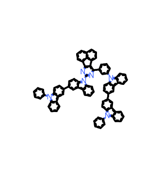 c1ccc(-n2c3ccccc3c3cc(-c4ccc5c(c4)c4ccccc4n5-c4cccc(-c5nc(-n6c7ccccc7c7cc(-c8ccc9c(c8)c8ccccc8n9-c8ccccc8)ccc76)nc6c5-c5cccc7cccc-6c57)c4)ccc32)cc1